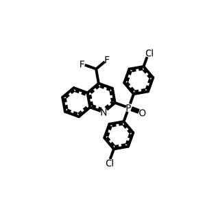 O=P(c1ccc(Cl)cc1)(c1ccc(Cl)cc1)c1cc(C(F)F)c2ccccc2n1